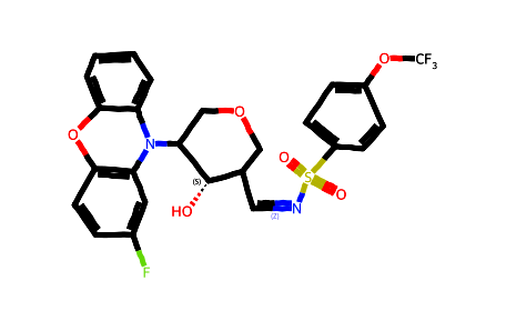 O=S(=O)(/N=C\C1COCC(N2c3ccccc3Oc3ccc(F)cc32)[C@H]1O)c1ccc(OC(F)(F)F)cc1